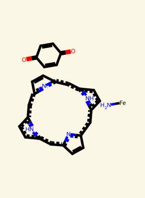 C1=Cc2cc3ccc(cc4nc(cc5ccc(cc1n2)[nH]5)C=C4)[nH]3.O=C1C=CC(=O)C=C1.[NH2][Fe]